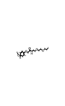 CCCOCCOCCNC(=O)COC1=CCC(C)(OC)C=C1